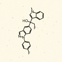 Cn1cc(C(O)(CF)c2ccc3c(cnn3-c3ccc(F)cc3)c2)c2ccccc21